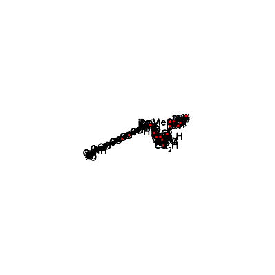 COc1cc2c(cc1OCCCC(=O)N1C[C@@H](CCl)c3c1cc(C(Cc1ccc(NC(=O)[C@H](C)NC(=O)[C@@H](NC(=O)CCOCCOCCOCCOCCOCCOCCOCCOCCNC(=O)CCN4C(=O)C=CC4=O)C(C)C)cc1)(CN(C)C(=O)O)N(C)C(=O)O)c1ccccc31)N=C[C@@H]1Cc3ccccc3CN1C2=O